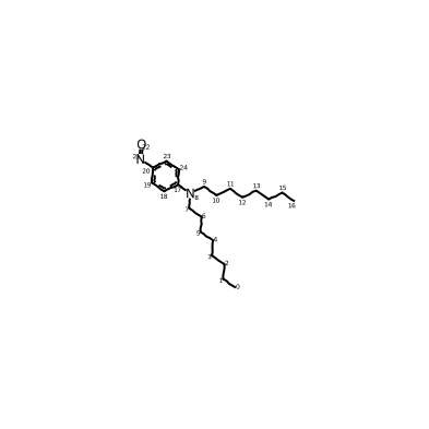 CCCCCCCCN(CCCCCCCC)c1ccc(N=O)cc1